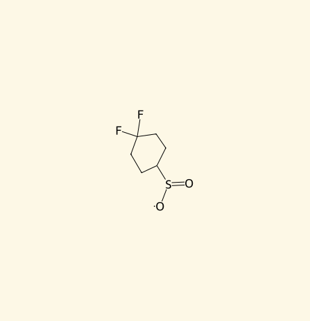 [O]S(=O)C1CCC(F)(F)CC1